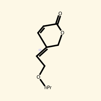 CCCOC/C=C1/C=CC(=O)OC1